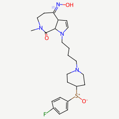 CN1CC/C(=N/O)C2C=CN(CCCCN3CCC([S+]([O-])c4ccc(F)cc4)CC3)C2C1=O